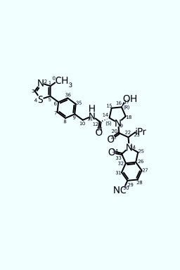 Cc1ncsc1-c1ccc(CNC(=O)[C@@H]2C[C@@H](O)CN2C(=O)C(C(C)C)N2Cc3ccc(C#N)cc3C2=O)cc1